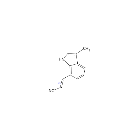 Cc1c[nH]c2c(/C=C/C#N)cccc12